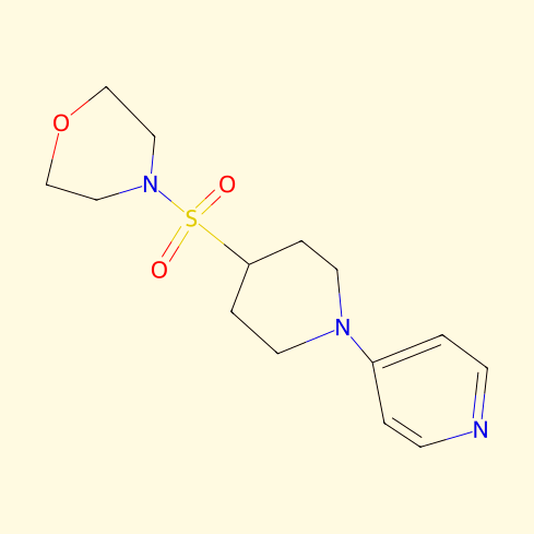 O=S(=O)(C1CCN(c2ccncc2)CC1)N1CCOCC1